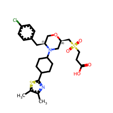 Cc1nc(C2CCC(N3C[C@H](CS(=O)(=O)CCC(=O)O)OC[C@@H]3Cc3ccc(Cl)cc3)CC2)sc1C